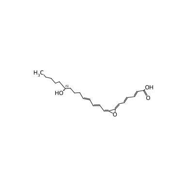 CCCCC[C@H](O)CCCC=CC=CC=C1OC1=CC=CC=CC(=O)O